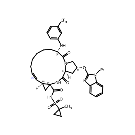 CC(C)n1c(O[C@@H]2C[C@H]3C(=O)N[C@]4(C(=O)NS(=O)(=O)C5(C)CC5)C[C@H]4/C=C\CCCCC[C@H](Nc4cccc(C(F)(F)F)c4)C(=O)N3C2)nc2ccccc21